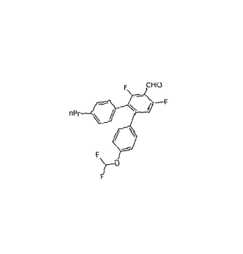 CCCc1ccc(-c2c(-c3ccc(OC(F)F)cc3)cc(F)c(C=O)c2F)cc1